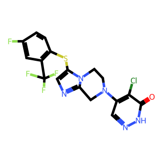 O=c1[nH]ncc(N2CCn3c(Sc4ccc(F)cc4C(F)(F)F)cnc3C2)c1Cl